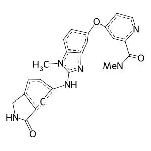 CNC(=O)c1cc(Oc2ccc3c(c2)nc(Nc2ccc4c(c2)C(=O)NC4)n3C)ccn1